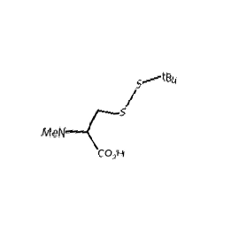 CNC(CSSC(C)(C)C)C(=O)O